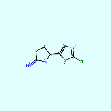 N=C1NC(c2cnc(Cl)s2)CS1